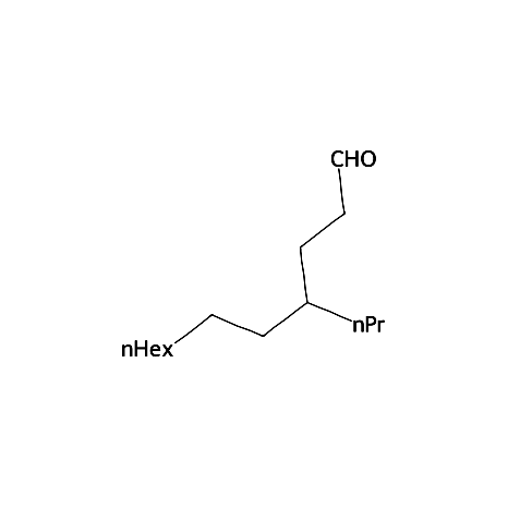 CCCCCCCCC(CCC)CCC=O